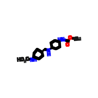 CC(C)(C)OC(=O)N[C@H]1CC[C@H](NC[C@H]2CC[C@H](NC(=O)O)CC2)CC1